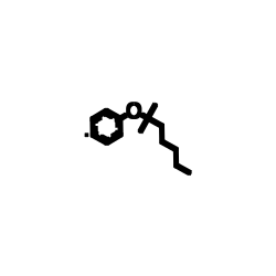 CCCCCC(C)(C)Oc1cc[c]cc1